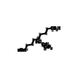 CCCCCCCCCCCCCCCC(=O)O.Cl.[CaH2].[CaH2]